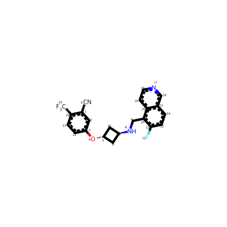 N#Cc1cc(O[C@H]2C[C@H](NCc3c(F)ccc4cnccc34)C2)ccc1C(F)(F)F